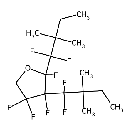 CCC(C)(C)C(F)(F)C1(F)OCC(F)(F)C1(F)C(F)(F)C(C)(C)CC